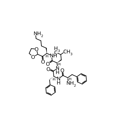 CC(C)C[C@@H](NC(=O)[C@@H](Cc1ccccc1)NC(=O)[C@H](N)Cc1ccccc1)C(=O)N[C@H](CCCCN)C(=O)C1OCCO1